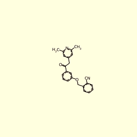 Cc1cc(CC(=O)c2cccc(OCc3ccccc3C#N)c2)cc(C)n1